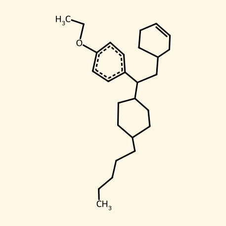 CCCCCC1CCC(C(CC2CC=CCC2)c2ccc(OCC)cc2)CC1